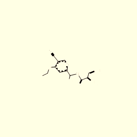 C=CC(=C)C(=O)NC(C)c1cc(OCC)c(C#N)cn1